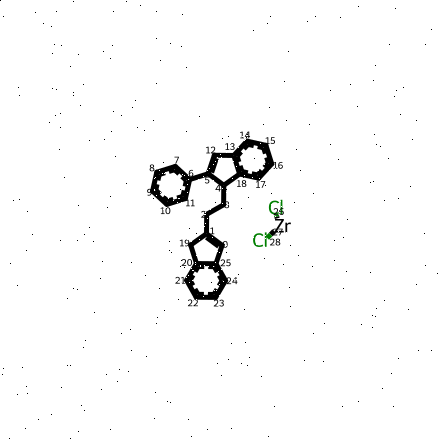 C1=C(CCC2C(c3ccccc3)=Cc3ccccc32)Cc2ccccc21.[Cl][Zr][Cl]